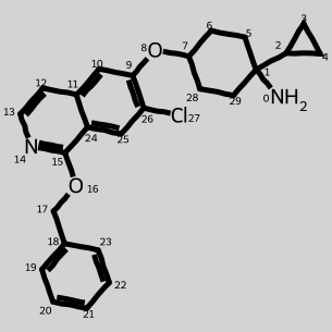 NC1(C2CC2)CCC(Oc2cc3ccnc(OCc4ccccc4)c3cc2Cl)CC1